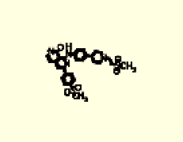 CS(=O)(=O)CCN1CCC(c2ccc(Nc3nc(-c4ccc(S(C)(=O)=O)cc4)cc4c3C(=O)[N]C=C4)cc2)CC1